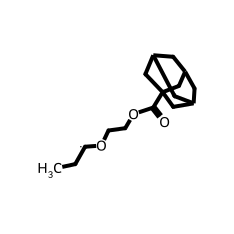 CC[CH]OCCOC(=O)C12CC3CC(CC(C3)C1)C2